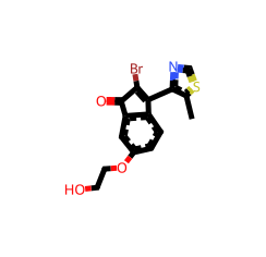 Cc1scnc1C1=C(Br)C(=O)c2cc(OCCO)ccc21